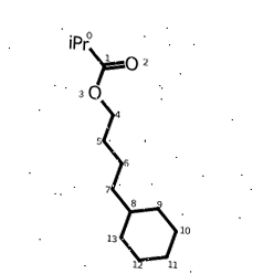 CC(C)C(=O)OCCCCC1CCCCC1